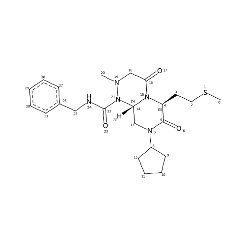 CSCC[C@H]1C(=O)N(C2CCCC2)C[C@H]2N1C(=O)CN(C)N2C(=O)NCc1ccccc1